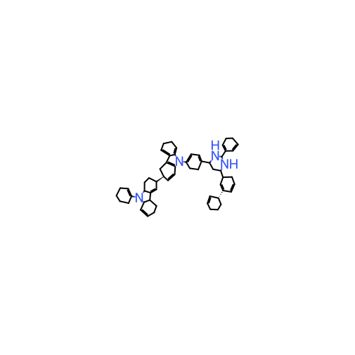 C1=CC(C2NC(C3=CC=C(n4c5c(c6c4=CCCC=6)C[C@H](C4C=C6C7CCC=CC7N(C7=CCCCC7)C6CC4)C=C5)CC3)CC(C3C=C([C@H]4C=CCCC4)C=CC3)N2)=CCC1